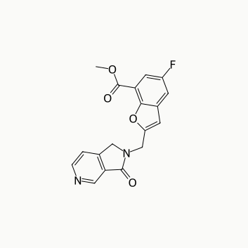 COC(=O)c1cc(F)cc2cc(CN3Cc4ccncc4C3=O)oc12